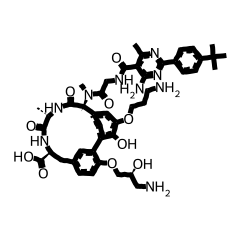 Cc1nc(-c2ccc(C(C)(C)C)cc2)nc(N)c1C(=O)NCC(=O)N(C)[C@@H]1C(=O)N[C@@H](C)C(=O)N[C@H](C(=O)O)Cc2ccc(OC[C@H](O)CN)c(c2)-c2cc1cc(OCCCN)c2O